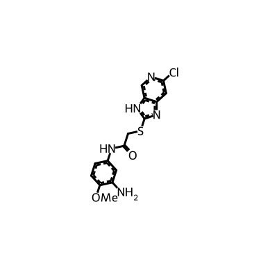 COc1ccc(NC(=O)CSc2nc3cc(Cl)ncc3[nH]2)cc1N